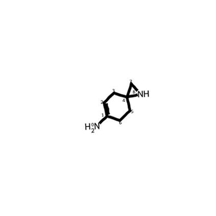 NC1=CCC2(CC1)CN2